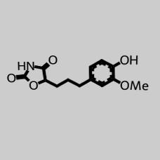 COc1cc(CCCC2OC(=O)NC2=O)ccc1O